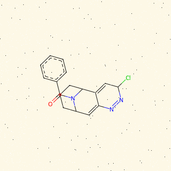 O=C(c1ccccc1)N1C2C=C3N=NC(Cl)C=C3C1CCC2